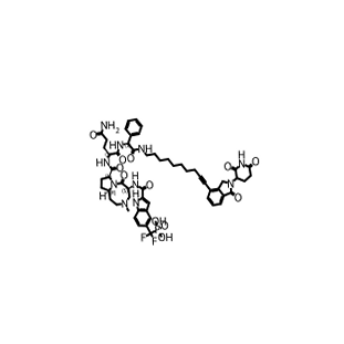 CN1CC[C@H]2CC[C@@H](C(=O)N[C@@H](CCC(N)=O)C(=O)N[C@H](C(=O)NCCCCCCCCC#Cc3cccc4c3CN(C3CCC(=O)NC3=O)C4=O)c3ccccc3)N2C(=O)[C@@H](NC(=O)c2cc3cc(C(F)(F)P(=O)(O)O)ccc3[nH]2)C1